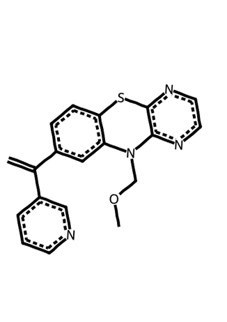 C=C(c1cccnc1)c1ccc2c(c1)N(COC)c1nccnc1S2